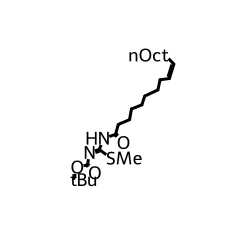 CCCCCCCC/C=C\CCCCCCCC(=O)N/C(=N/C(=O)OC(C)(C)C)SC